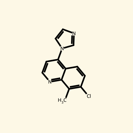 Cc1c(Cl)ccc2c(-n3ccnc3)ccnc12